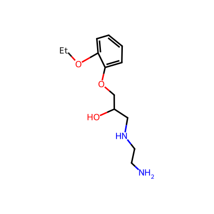 CCOc1ccccc1OCC(O)CNCCN